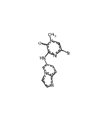 Cn1cc(Br)nc(Nc2ccc3nccn3c2)c1=O